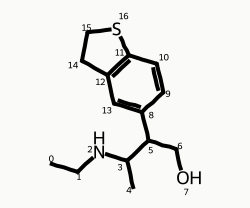 CCNC(C)C(CO)c1ccc2c(c1)CCS2